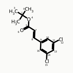 CC(C)(C)OC(=O)/C=C/c1cc(Cl)cc(Cl)c1